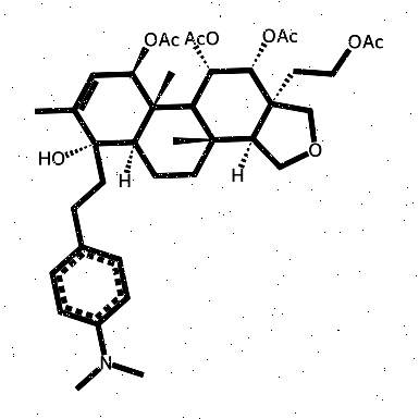 CC(=O)OCC[C@]12COC[C@H]1[C@]1(C)CC[C@@H]3[C@@](C)(C1[C@H](OC(C)=O)[C@@H]2OC(C)=O)[C@H](OC(C)=O)C=C(C)[C@]3(O)CCc1ccc(N(C)C)cc1